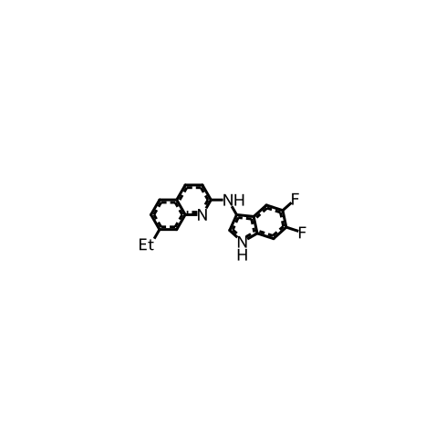 CCc1ccc2ccc(Nc3c[nH]c4cc(F)c(F)cc34)nc2c1